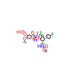 C[C@@H](O)COc1cc(C(=O)NCC(O)(c2cc(C(C)(C)NC(=O)OC(C)(C)C)cc(-c3ccc(F)cc3)n2)C(F)(F)F)ccc1OC1CC1